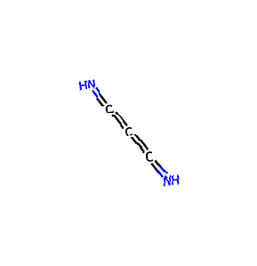 N=C=C=C=N